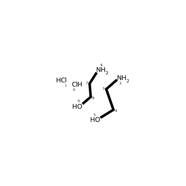 Cl.Cl.NCCO.NCCO